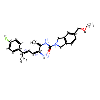 C=C(NC(=O)N1Cc2ccc(COC)cc2C1)/C(N)=C\C=C(/C)c1ccc(F)cc1